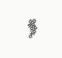 C/C(=C1\Cc2ccccc2P1)c1cccc(-c2cccc(-c3cc(-c4ccccc4)c(-c4ccccc4)c(-c4ccccc4)c3-c3ccccc3)c2)c1